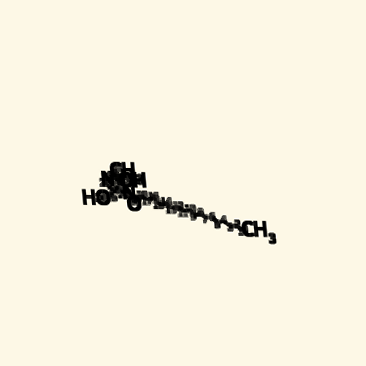 CCC=CCC=CCC=CCC=CCC=CCCCC(=O)NCc1c(CO)cnc(C)c1O